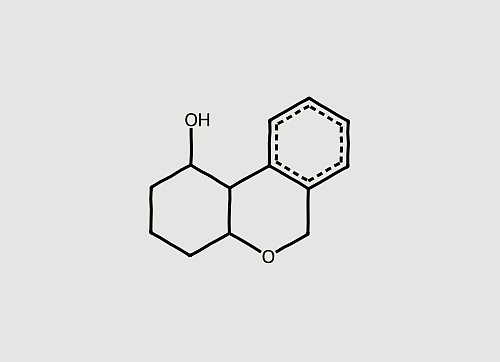 OC1CCCC2OCc3ccccc3C12